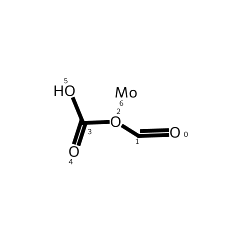 O=COC(=O)O.[Mo]